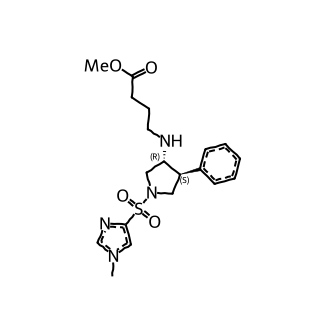 COC(=O)CCCN[C@H]1CN(S(=O)(=O)c2cn(C)cn2)C[C@@H]1c1ccccc1